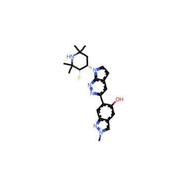 Cn1cc2cc(O)c(-c3cc4ccn([C@H]5CC(C)(C)NC(C)(C)[C@H]5F)c4nn3)cc2n1